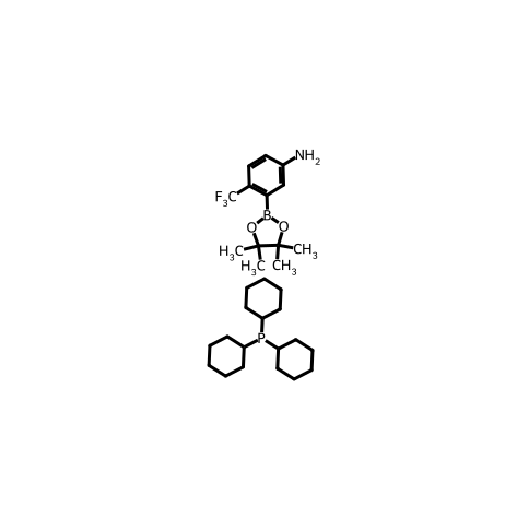 C1CCC(P(C2CCCCC2)C2CCCCC2)CC1.CC1(C)OB(c2cc(N)ccc2C(F)(F)F)OC1(C)C